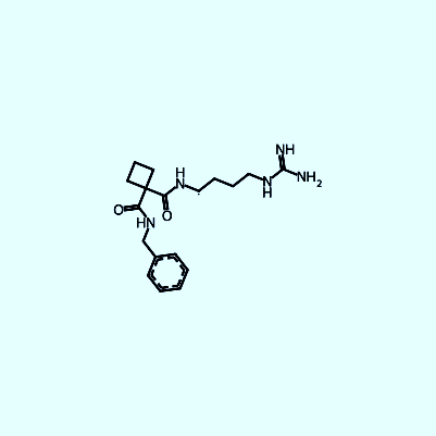 N=C(N)NCCC[CH]NC(=O)C1(C(=O)NCc2ccccc2)CCC1